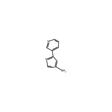 Nc1ccnc(-c2cccnc2)c1